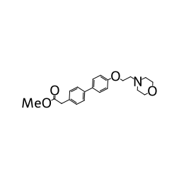 COC(=O)Cc1ccc(-c2ccc(OCCN3CCOCC3)cc2)cc1